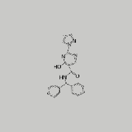 O=C(NC(c1ccccc1)c1ccccc1)c1cnc(-n2c[c]cn2)nc1O